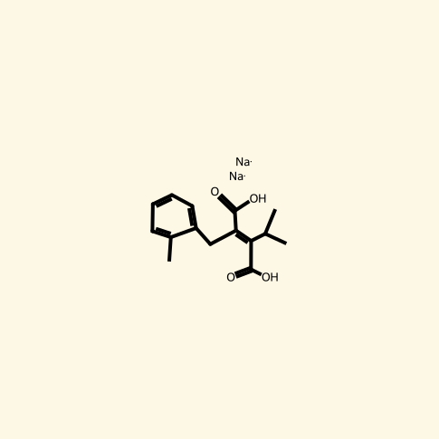 Cc1ccccc1CC(C(=O)O)=C(C(=O)O)C(C)C.[Na].[Na]